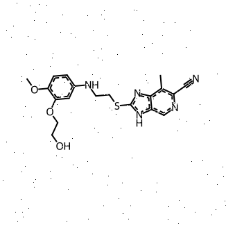 COc1ccc(NCCSc2nc3c(C)c(C#N)ncc3[nH]2)cc1OCCO